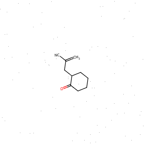 C=C(C#N)CC1CCCCC1=O